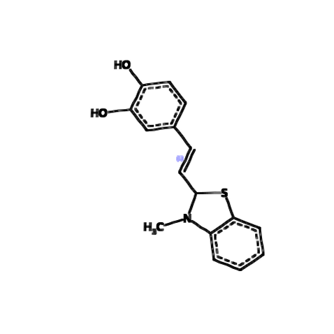 CN1c2ccccc2SC1/C=C/c1ccc(O)c(O)c1